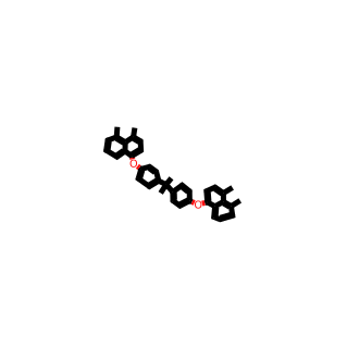 Cc1cccc2c(Oc3ccc(C(C)(C)c4ccc(Oc5ccc(C)c6c(C)cccc56)cc4)cc3)ccc(C)c12